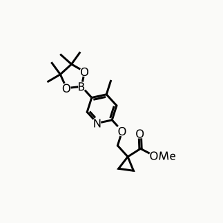 COC(=O)C1(COc2cc(C)c(B3OC(C)(C)C(C)(C)O3)cn2)CC1